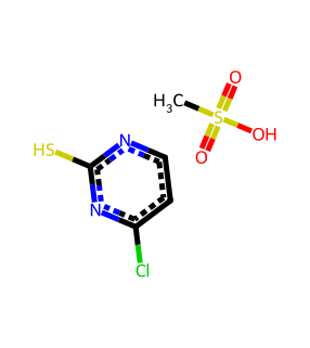 CS(=O)(=O)O.Sc1nccc(Cl)n1